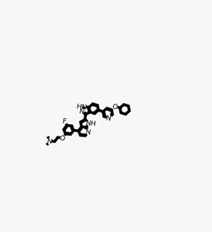 CN(C)CCOc1cc(F)cc(-c2ccnc3[nH]c(-c4n[nH]c5ccc(-c6cncc(OC7CCCCC7)c6)cc45)cc23)c1